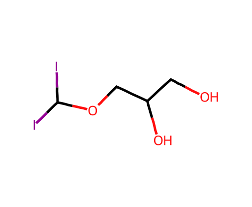 OCC(O)COC(I)I